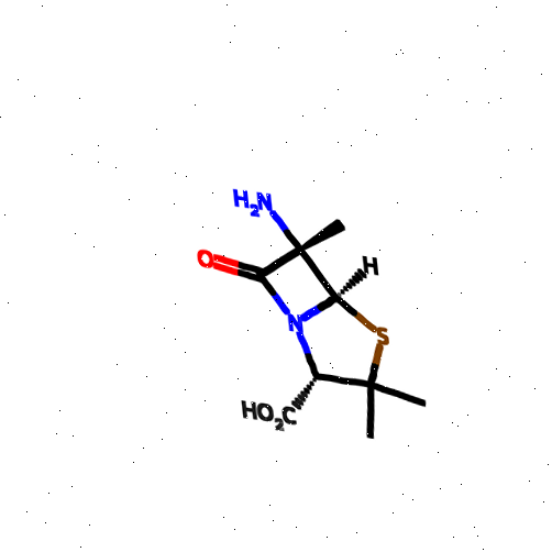 CC1(C)S[C@H]2N(C(=O)[C@]2(C)N)[C@H]1C(=O)O